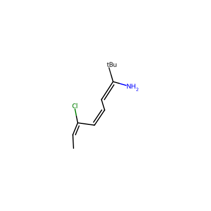 C\C=C(Cl)/C=C\C=C(/N)C(C)(C)C